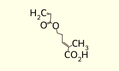 C=CC(=O)OCCC=C(C)C(=O)O